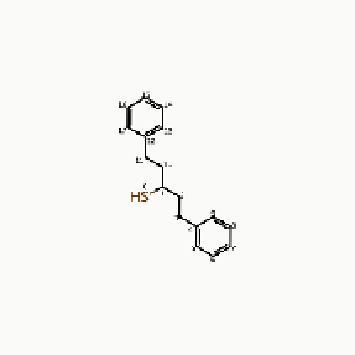 SC(CCc1ccccc1)CCc1ccccc1